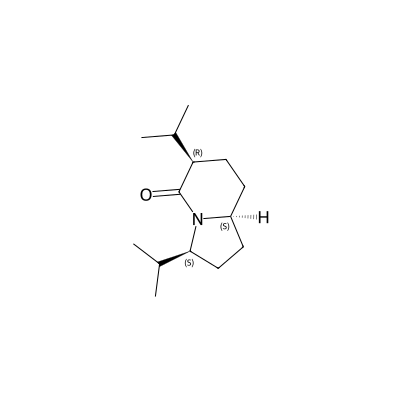 CC(C)[C@H]1CC[C@H]2CC[C@@H](C(C)C)N2C1=O